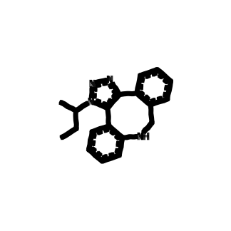 CCC(C)n1nnc2c1-c1ccccc1NCc1ccccc1-2